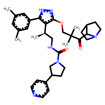 Cc1cc(C)cc(-c2[nH]nc(OCC(C)(C)C(=O)C3C4CCN3CC4)c2[C@H](C)CNC(=O)N2CCC(c3ccncc3)C2)c1